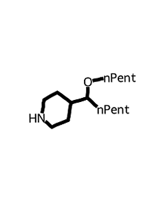 CCCCCOC(CCCCC)C1CCNCC1